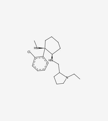 CCN1CCCC1CN[C@@H]1CCCC[C@@]1(NC)c1ccccc1Cl